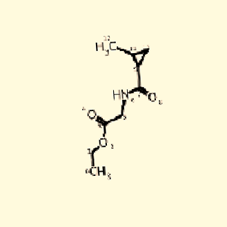 CCOC(=O)CNC(=O)C1CC1C